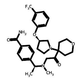 C[C@@H](c1ccc(C(N)=O)cc1)N(C)CC(=O)C1(N2CC[C@@H](Oc3cccc(C(F)(F)F)c3)C2)CCOCC1